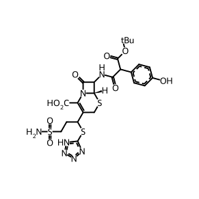 CC(C)(C)OC(=O)C(C(=O)NC1C(=O)N2C(C(=O)O)=C(C(CCS(N)(=O)=O)Sc3nnn[nH]3)CS[C@@H]12)c1ccc(O)cc1